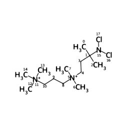 CC(C)(CC[N+](C)(C)CCC[N+](C)(C)C)N(Cl)Cl